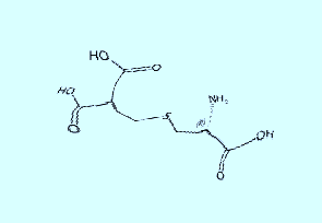 N[C@@H](CSCC(C(=O)O)C(=O)O)C(=O)O